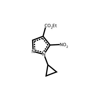 CCOC(=O)c1cnn(C2CC2)c1[N+](=O)[O-]